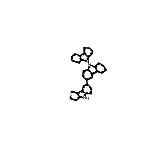 c1ccc2c(c1)[nH]c1ccc(-c3ccc4c(c3)c3ccccc3n4-n3c4ccccc4c4ccccc43)cc12